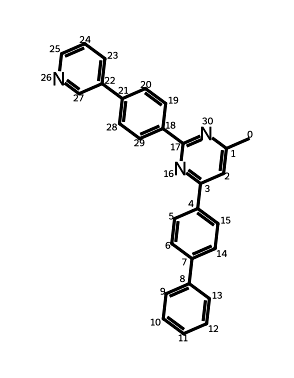 Cc1cc(-c2ccc(-c3ccccc3)cc2)nc(-c2ccc(-c3cccnc3)cc2)n1